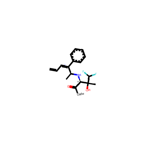 C=C/C=C(/c1ccccc1)C(C)N[C@H](C(=O)OC)C(C)(O)C(F)F